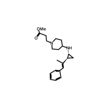 COC(=O)CCN1CCC(N[C@@H]2C[C@H]2/C(C)=C/c2ccccc2)CC1